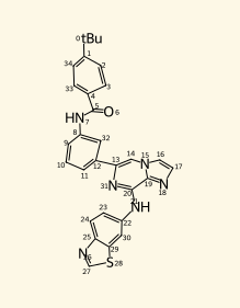 CC(C)(C)c1ccc(C(=O)Nc2cccc(-c3cn4ccnc4c(Nc4ccc5ncsc5c4)n3)c2)cc1